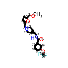 COCc1ccc(CN2CC3C(CNC(=O)c4cccc(OC(F)(F)F)c4)C3C2)o1